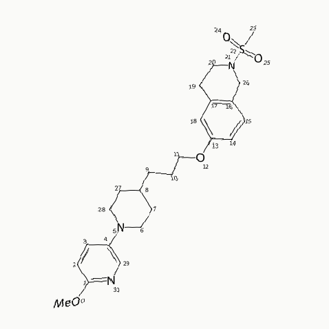 COc1ccc(N2CCC(CCCOc3ccc4c(c3)CCN(S(C)(=O)=O)C4)CC2)cn1